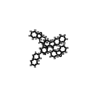 C1=C(c2nc(-c3ccc4ccccc4c3)nc(-c3ccc4oc5ccccc5c4c3-n3c4ccccc4c4cc5ccccc5cc43)n2)CCc2oc3ccccc3c21